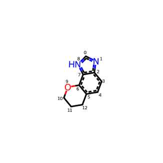 c1nc2ccc3c(c2[nH]1)OCCC3